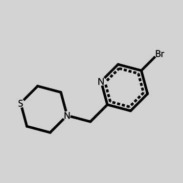 Brc1ccc(CN2CCSCC2)nc1